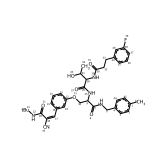 Cc1ccc(CNC(=O)C(COc2cccc(C=C(C#N)C(=O)NC(C)(C)C)c2)NC(=O)C(NC(=O)CCc2cccc(F)c2)C(C)O)cc1